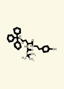 CC(C)(C)OC(=O)NC(CC(=O)NC(c1ccccc1)(c1ccccc1)c1ccccc1)C(=O)NCCc1ccc(O)cc1